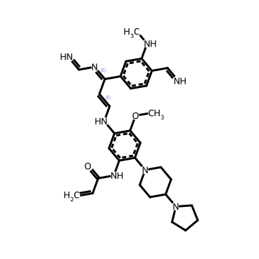 C=CC(=O)Nc1cc(N/C=C/C(=N\C=N)c2ccc(C=N)c(NC)c2)c(OC)cc1N1CCC(N2CCCC2)CC1